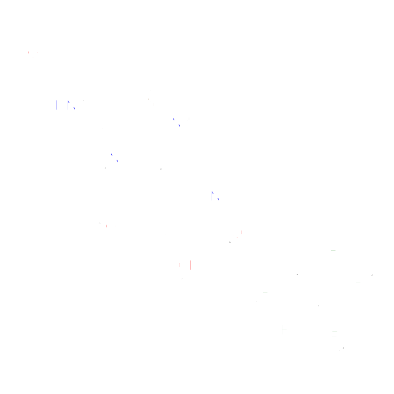 O=CNc1nc(/C(=N/OCC(F)(F)C(F)(F)F)C(=O)O)ns1